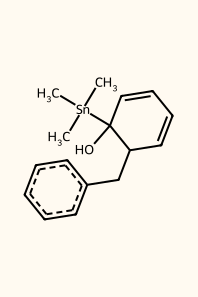 [CH3][Sn]([CH3])([CH3])[C]1(O)C=CC=CC1Cc1ccccc1